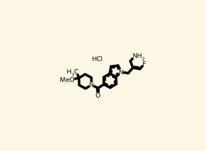 COC1(C)CCN(C(=O)c2ccc3c(ccn3CC(=CF)CN)c2)CC1.Cl